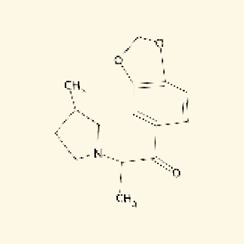 CC1CCN(C(C)C(=O)c2ccc3c(c2)OCO3)C1